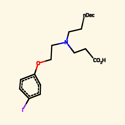 CCCCCCCCCCCCN(CCOc1ccc(I)cc1)CCC(=O)O